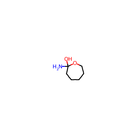 NC1(O)CCCCCO1